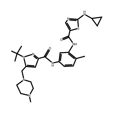 Cc1ccc(NC(=O)c2cc(CN3CCN(C)CC3)n(C(C)(C)C)n2)cc1NC(=O)c1cnc(NC2CC2)s1